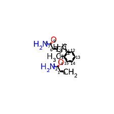 C=CC(N)=O.C=CC(N)=O.Cc1ccccc1C